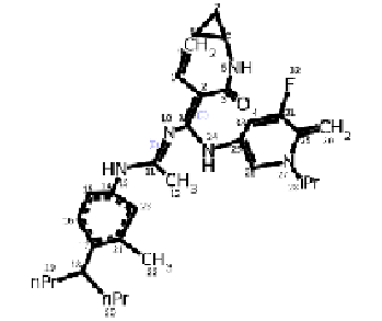 C=C/C(C(=O)NC1CC1)=C(\N=C(/C)Nc1ccc(C(CCC)CCC)c(C)c1)NC1=CN(C(C)C)C(=C)C(F)=C1